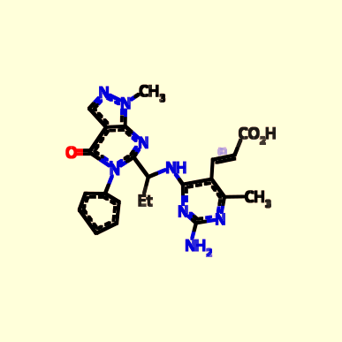 CCC(Nc1nc(N)nc(C)c1/C=C/C(=O)O)c1nc2c(cnn2C)c(=O)n1-c1ccccc1